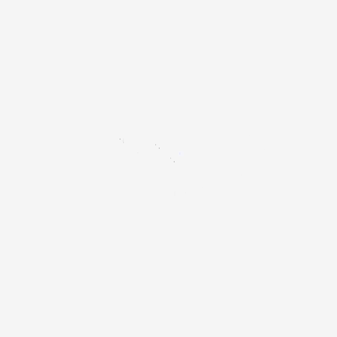 Oc1ccc2ccccc2c1/C=N/Nc1nc2ccccc2s1